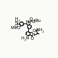 C=C(CN1Cc2c(-c3ccc4c(c3)c(-c3ccc(C(N)=O)c(OC)c3)nn4C(=O)OC(C)(C)C)ccc(N)c2C1=O)C(N)=O